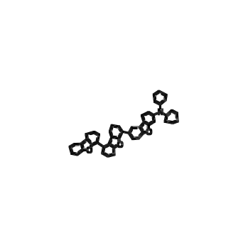 c1ccc(N(c2ccccc2)c2ccc3c(c2)oc2ccc(-c4cccc5c4oc4cccc(-c6cccc7c6oc6ccccc67)c45)cc23)cc1